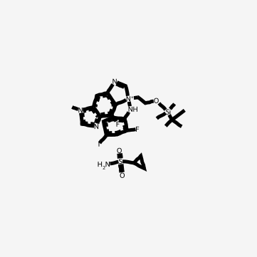 Cn1cnc2c(F)c3c(cc21)N=C[N+]3(CCO[Si](C)(C)C(C)(C)C)Nc1ccc(I)cc1F.NS(=O)(=O)C1CC1